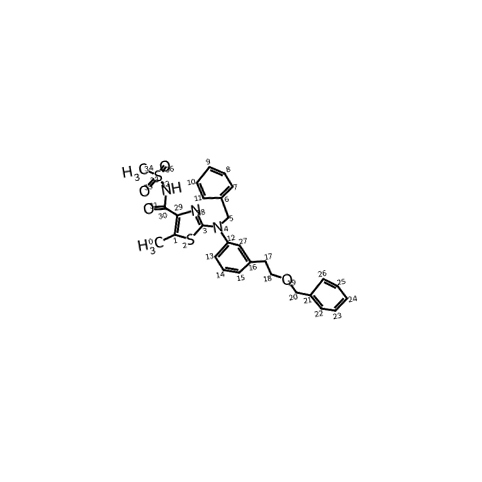 Cc1sc(N(Cc2ccccc2)c2cccc(CCOCc3ccccc3)c2)nc1C(=O)NS(C)(=O)=O